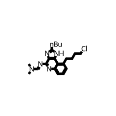 CCCCc1nc2c(N=CN(C)C)nc3cccc(CCCCCl)c3c2[nH]1